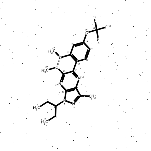 CCC(CC)n1nc(C)c2nc(-c3ccc(OC(F)(F)F)cc3OC)c(OC)nc21